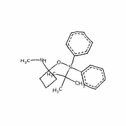 CNC1(O[Si](c2ccccc2)(c2ccccc2)C(C)(C)C)CCC1